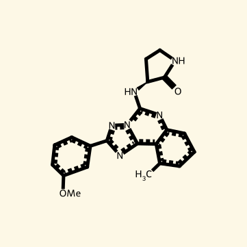 COc1cccc(-c2nc3c4c(C)cccc4nc(N[C@H]4CCNC4=O)n3n2)c1